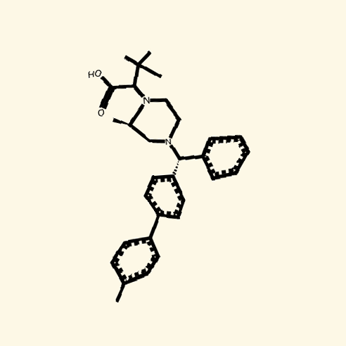 Cc1ccc(-c2ccc([C@@H](c3ccccc3)N3CCN(C(C(=O)O)C(C)(C)C)[C@H](C)C3)cc2)cc1